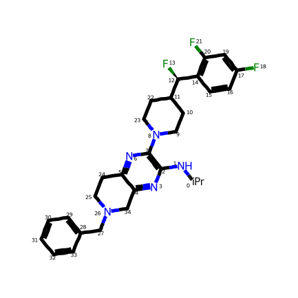 CC(C)Nc1nc2c(nc1N1CCC([C@@H](F)c3ccc(F)cc3F)CC1)CCN(Cc1ccccc1)C2